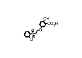 O=C(O)c1cc(OCCS(=O)(=O)c2ccccc2Cl)ccc1O